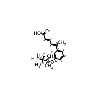 CC(=CC=CC(=O)O)c1cccc(O[Si](C)(C)C(C)(C)C)c1